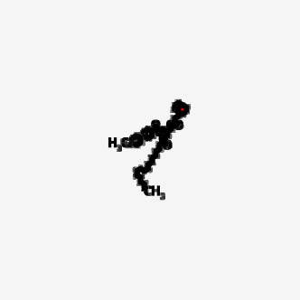 CCCCC/C=C\C/C=C\CCCCCCCC(=O)OCC(COC(=O)CCC12CC3CC(CC(C3)C1)C2)COC(=O)C1CCN(C2CCN(CC)CC2)CC1